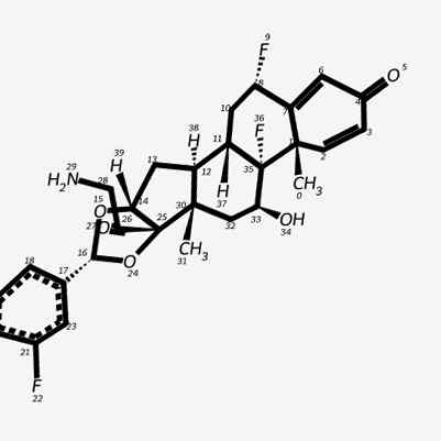 C[C@]12C=CC(=O)C=C1[C@@H](F)C[C@H]1[C@@H]3C[C@H]4O[C@@H](c5cccc(F)c5)O[C@@]4(C(=O)CN)[C@@]3(C)C[C@H](O)[C@@]12F